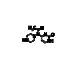 CC(=O)N(c1cc[nH]c(=O)n1)N1CCNCC1